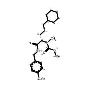 COc1ccc(CNC(=O)[C@H](CSCC2CCCCC2)N(C)C(=O)OC(C)(C)C)cc1